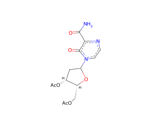 CC(=O)OC[C@H]1OC(n2ccnc(C(N)=O)c2=O)C[C@H]1OC(C)=O